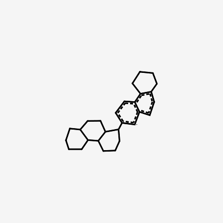 [c]1c(C2CCCC3C4CCCCC4CCC23)ccc2c3c(ccc12)CCCC3